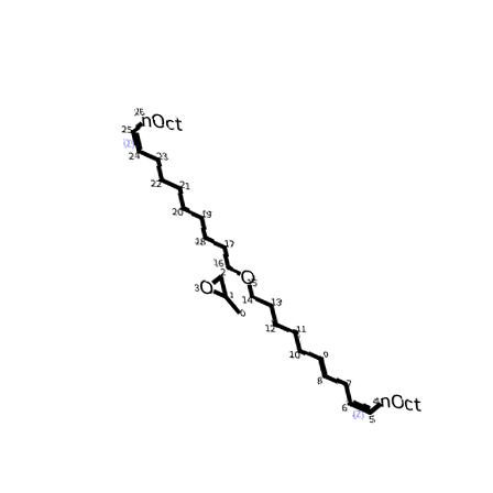 CC1CO1.CCCCCCCC/C=C\CCCCCCCCOCCCCCCCC/C=C\CCCCCCCC